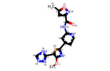 CCOc1nc(-c2ccnc(NC(=O)c3cc(C)on3)c2)sc1-c1nnc[nH]1